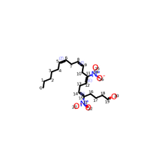 CCCCC/C=C\C/C=C\C/C(=C\C/C=C(\CCC[C]=O)[N+](=O)[O-])[N+](=O)[O-]